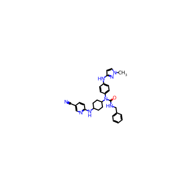 Cn1ccc(Nc2ccc(N(C(=O)NCc3ccccc3)C3CCC(Nc4ccc(C#N)cn4)CC3)cc2)n1